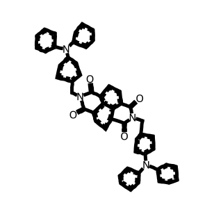 O=C1c2ccc3c4c(ccc(c24)C(=O)N1Cc1ccc(N(c2ccccc2)c2ccccc2)cc1)C(=O)N(Cc1ccc(N(c2ccccc2)c2ccccc2)cc1)C3=O